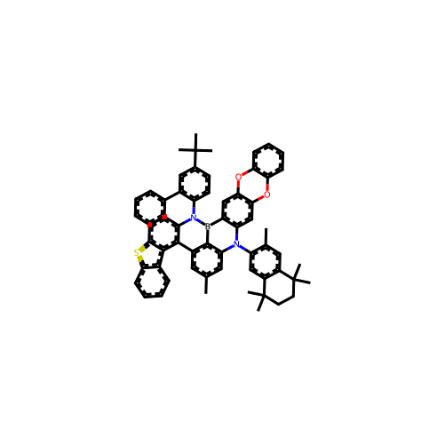 Cc1cc2c3c(c1)N(c1cc4c(cc1C)C(C)(C)CCC4(C)C)c1cc4c(cc1B3N(c1ccc(C(C)(C)C)cc1-c1ccccc1)c1ccc3sc5ccccc5c3c1-2)Oc1ccccc1O4